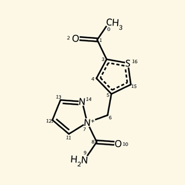 CC(=O)c1cc(C[N+]2(C(N)=O)C=[C]C=N2)cs1